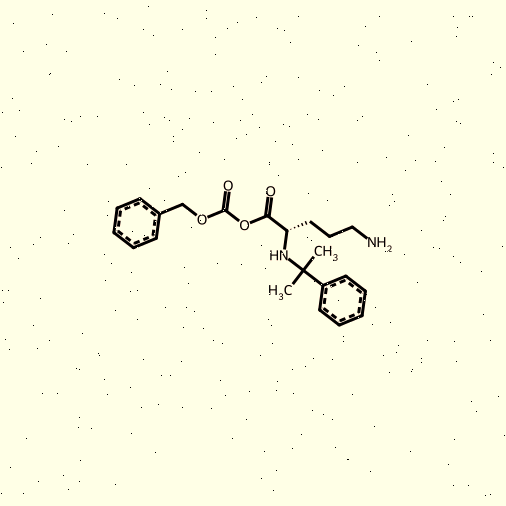 CC(C)(N[C@@H](CCCN)C(=O)OC(=O)OCc1ccccc1)c1ccccc1